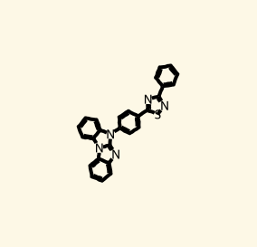 c1ccc(-c2nsc(-c3ccc(-n4c5ccccc5n5c6ccccc6nc45)cc3)n2)cc1